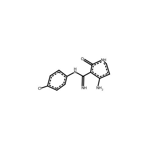 N=C(Nc1ccc(Cl)cc1)c1c(N)cc[nH]c1=O